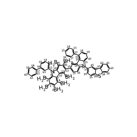 Bc1c(B)c(B)c2c(c1B)c1c(B)c(-c3ccc4c(c3)c3c(-c5ccccc5)cccc3n4-c3ccc4sc5ccccc5c4c3)c(B)c(B)c1n2-c1cccc(-c2ccccc2)c1